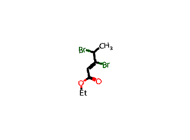 CCOC(=O)/C=C(\Br)C(C)Br